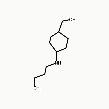 CCCCNC1CCC(CO)CC1